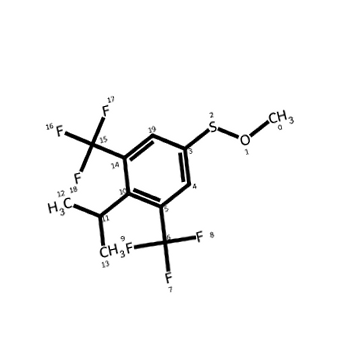 COSc1cc(C(F)(F)F)c(C(C)C)c(C(F)(F)F)c1